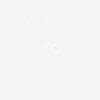 FC(F)(F)c1ccc(N2CC3CCC(Oc4ccccc4)(C3)C2)nn1